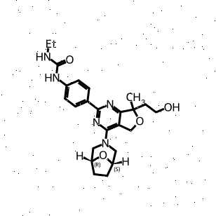 CCNC(=O)Nc1ccc(-c2nc(N3C[C@H]4CC[C@@H](C3)O4)c3c(n2)C(C)(CCO)OC3)cc1